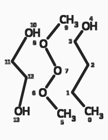 CCCCO.COOOC.OCCO